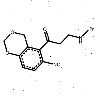 CC(C)NCCC(=O)c1c([N+](=O)[O-])ccc2c1COCO2